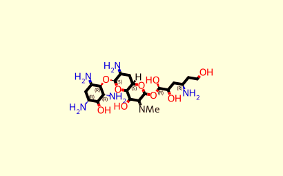 CNC1C(O[C@@H](O)C(O)C[C@H](N)CCO)O[C@H]2CC(N)[C@@H](O[C@@H]3C(N)C[C@@H](N)C(O)[C@H]3N)OC2C1O